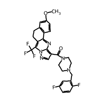 COc1ccc2c(c1)CCc1c-2nc2c(C(=O)N3CCN(Cc4cc(F)ccc4F)CC3)cnn2c1C(F)(F)F